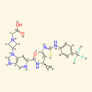 C[C@@H](NC(=O)c1cc2c(cn1)ncn2C1CN(CC(=O)O)C1)c1cnc(Nc2ccc(C(F)(F)F)cc2)s1